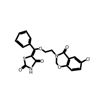 O=C1NC(=O)C(=C(OCCN2COc3ccc(Cl)cc3C2=O)c2ccccc2)S1